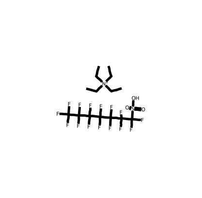 CC[N+](CC)(CC)CC.O=S(=O)(O)C(F)(F)C(F)(F)C(F)(F)C(F)(F)C(F)(F)C(F)(F)C(F)(F)F